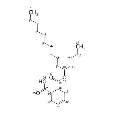 CCCCCCCCCCC(CCCC)OC(=O)C1CC=CCC1C(=O)O